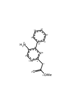 COC(=O)Cc1ncc(N)c(-c2ccccc2)n1